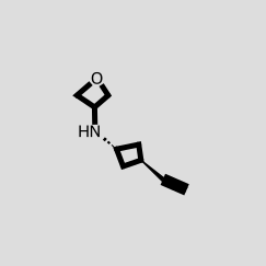 C#C[C@H]1C[C@H](NC2COC2)C1